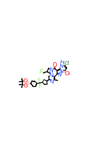 Cc1nc(C2CCC(C(F)(F)c3ccc(B4OC(C)(C)C(C)(C)O4)cc3)C2)cnc1-c1nn2c(=O)cc(Cl)[nH]c2c1C(=O)N1CC(CF)C1